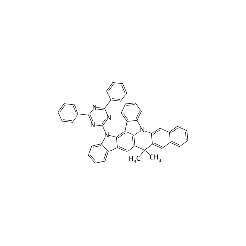 CC1(C)c2cc3ccccc3cc2-n2c3ccccc3c3c2c1cc1c2ccccc2n(-c2nc(-c4ccccc4)nc(-c4ccccc4)n2)c13